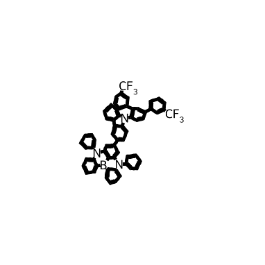 FC(F)(F)c1cccc(-c2ccc(-n3c4ccccc4c4cc(-c5cc6c7c(c5)N(c5ccccc5)c5ccccc5B7c5ccccc5N6c5ccccc5)ccc43)c(-c3cccc(C(F)(F)F)c3)c2)c1